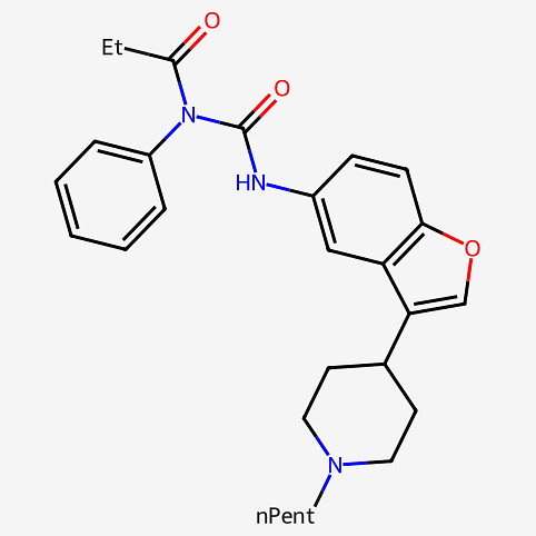 CCCCCN1CCC(c2coc3ccc(NC(=O)N(C(=O)CC)c4ccccc4)cc23)CC1